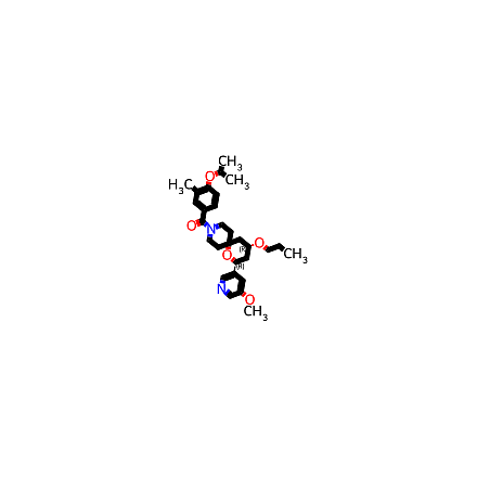 CCCO[C@@H]1C[C@H](c2cncc(OC)c2)OC2(CCN(C(=O)c3ccc(OC(C)C)c(C)c3)CC2)C1